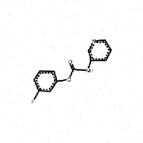 O=C(Nc1cccnc1)Oc1cccc(F)c1